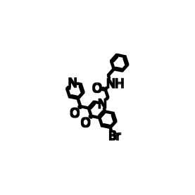 O=C(Cn1cc(C(=O)c2ccncc2)c(=O)c2cc(Br)ccc21)NCc1ccccc1